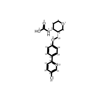 O=C(O)N[C@@H]1CCOC[C@@H]1COc1ccc(-c2ccc(Cl)cn2)cc1